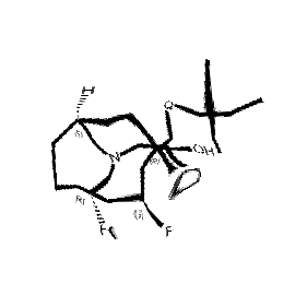 CC(C)(C)OC(=O)N1[C@H]2CC[C@@H]1[C@H](F)[C@H](O)C2